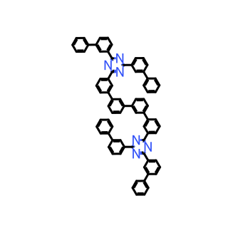 c1ccc(-c2cccc(-c3nc(-c4cccc(-c5ccccc5)c4)nc(-c4cccc(-c5cccc(-c6cccc(-c7cccc(-c8nc(-c9cccc(-c%10ccccc%10)c9)nc(-c9cccc(-c%10ccccc%10)c9)n8)c7)c6)c5)c4)n3)c2)cc1